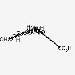 O=CCOCCOCCNC(=O)COCCOCCNC(=O)CC[C@H](NC(=O)[C@H]1CC[C@H](CNC(=O)CCCCCCCCCCCCCCCCCCC(=O)O)CC1)C(=O)O